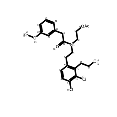 CC(=O)OCCN(CCc1ccc(Cl)c(Cl)c1CCO)C(=O)Cc1cccc(OC(C)C)c1